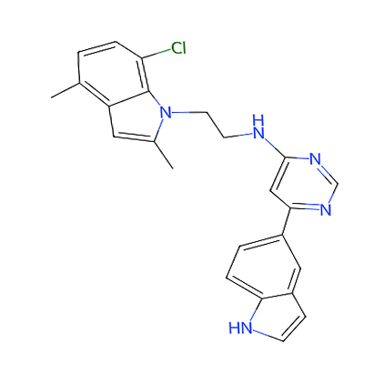 Cc1ccc(Cl)c2c1cc(C)n2CCNc1cc(-c2ccc3[nH]ccc3c2)ncn1